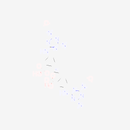 CN(C)c1nc(Nc2ccc(/C=C/c3ccc(Nc4nc(N(C)C)nc(N5CCOCC5)n4)cc3S(=O)(=O)O)c(S(=O)(=O)O)c2)nc(N2CCOCC2)n1